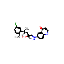 COc1ccc(F)cc1C(C)(C)CC(O)(CNc1ccc2[nH]ccc(=O)c2c1)C(F)(F)F